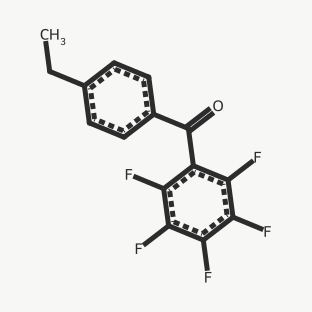 CCc1ccc(C(=O)c2c(F)c(F)c(F)c(F)c2F)cc1